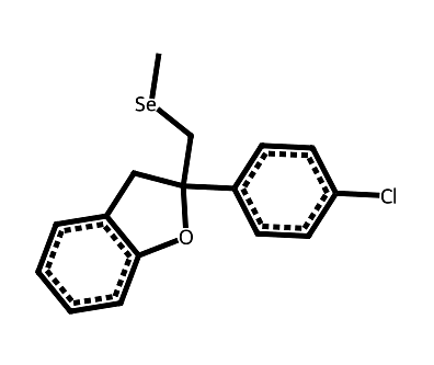 C[Se]CC1(c2ccc(Cl)cc2)Cc2ccccc2O1